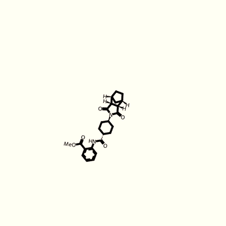 COC(=O)c1ccccc1NC(=O)[C@H]1CC[C@H](N2C(=O)[C@@H]3[C@@H]4CC[C@@H](C4)[C@@H]3C2=O)CC1